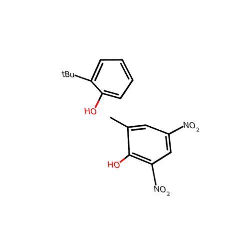 CC(C)(C)c1ccccc1O.Cc1cc([N+](=O)[O-])cc([N+](=O)[O-])c1O